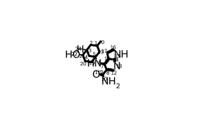 CC1C[C@@H]2C[C@@](Nc3c(C(N)=O)cnc4[nH]ccc34)(CC[C@H]2O)C1